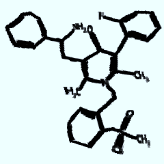 Cc1c(CC(N)c2ccccc2)c(=O)c(-c2ccccc2F)c(C)n1Cc1ccccc1S(C)(=O)=O